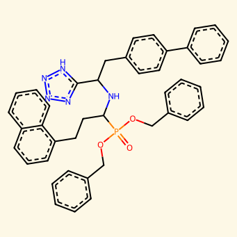 O=P(OCc1ccccc1)(OCc1ccccc1)C(CCc1cccc2ccccc12)NC(Cc1ccc(-c2ccccc2)cc1)c1nnn[nH]1